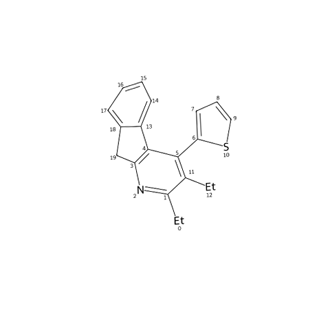 CCc1nc2c(c(-c3cccs3)c1CC)-c1ccccc1C2